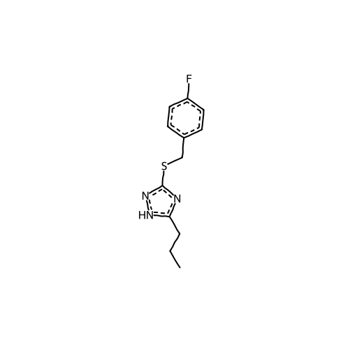 CCCc1nc(SCc2ccc(F)cc2)n[nH]1